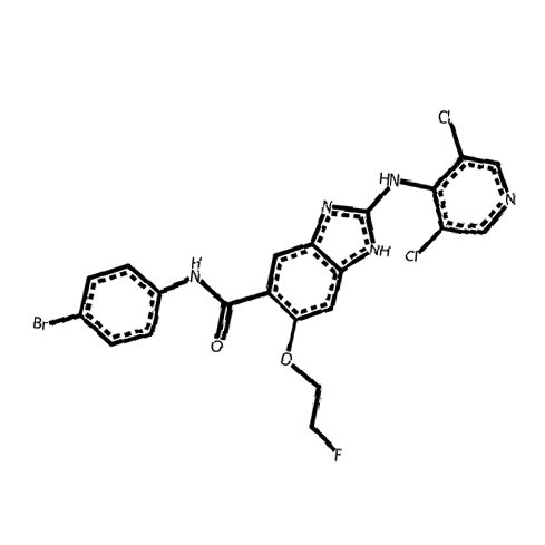 O=C(Nc1ccc(Br)cc1)c1cc2nc(Nc3c(Cl)cncc3Cl)[nH]c2cc1OCCF